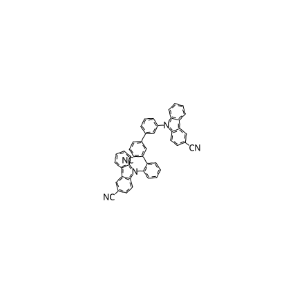 N#Cc1ccc2c(c1)c1ccccc1n2-c1cccc(-c2ccc(C#N)c(-c3ccccc3-n3c4ccccc4c4cc(C#N)ccc43)c2)c1